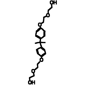 CC(C)(c1ccc(OCCOCCO)cc1)c1ccc(OCCOCCO)cc1